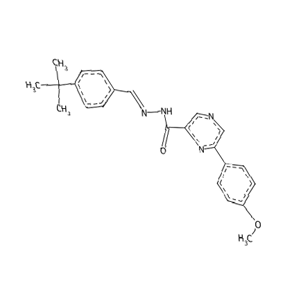 COc1ccc(-c2cncc(C(=O)NN=Cc3ccc(C(C)(C)C)cc3)n2)cc1